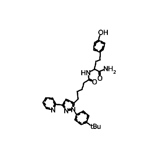 CC(C)(C)c1ccc(-n2nc(-c3ccccn3)cc2CCCCC(=O)NC(CCc2ccc(O)cc2)C(N)=O)cc1